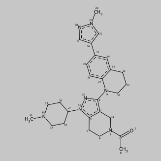 CC(=O)N1CCc2c(c(N3CCCc4cc(-c5cnn(C)c5)ccc43)nn2C2CCN(C)CC2)C1